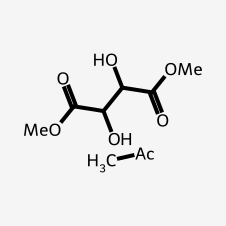 CC(C)=O.COC(=O)C(O)C(O)C(=O)OC